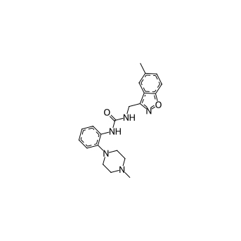 Cc1ccc2onc(CNC(=O)Nc3ccccc3N3CCN(C)CC3)c2c1